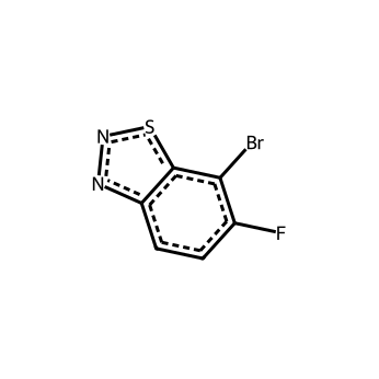 Fc1ccc2nnsc2c1Br